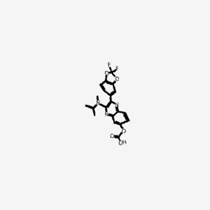 CC(C)N(C)c1nc2cc(OC(=O)O)ccc2nc1-c1ccc2c(c1)OC(F)(F)O2